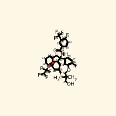 CC(C)(CO)COc1cc(C(Cc2ccccc2)(NC(=O)c2ccc(F)c(C(F)(F)F)c2)c2cc(F)cc(OC(F)(F)C(F)F)c2)ccc1F